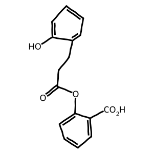 O=C(CCc1ccccc1O)Oc1ccccc1C(=O)O